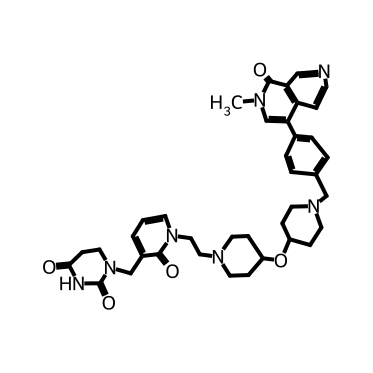 Cn1cc(-c2ccc(CN3CCC(OC4CCN(CCn5cccc(CN6CCC(=O)NC6=O)c5=O)CC4)CC3)cc2)c2ccncc2c1=O